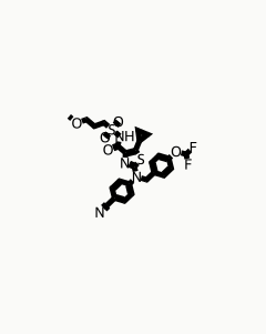 COCCCS(=O)(=O)NC(=O)c1nc(N(Cc2ccc(OC(F)F)cc2)c2ccc(C#N)cc2)sc1C1CC1